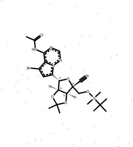 CC(=O)Nc1ncnn2c([C@@H]3O[C@](C#N)(CO[Si](C)(C)C(C)(C)C)[C@H]4OC(C)(C)O[C@@H]34)cc(Br)c12